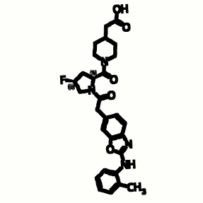 Cc1ccccc1Nc1nc2ccc(CC(=O)N3C[C@@H](F)C[C@H]3C(=O)N3CCC(CC(=O)O)CC3)cc2o1